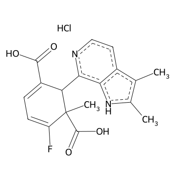 Cc1[nH]c2c(C3C(C(=O)O)=CC=C(F)C3(C)C(=O)O)nccc2c1C.Cl